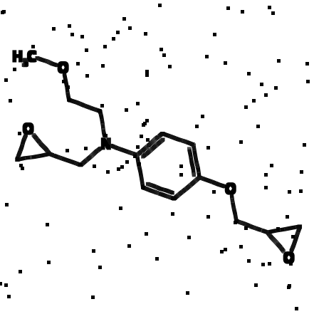 COCCN(CC1CO1)c1ccc(OCC2CO2)cc1